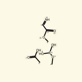 CC(=O)O.COB(O)O.COC(=O)C=N